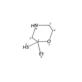 CCC1(S)CNCCO1